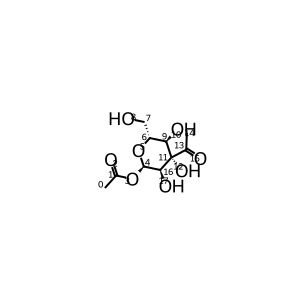 CC(=O)O[C@H]1O[C@H](CO)[C@@H](O)[C@@](O)(C(C)=O)[C@H]1O